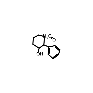 C=O.OC1CCCCC1c1ccccc1